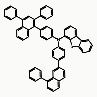 c1ccc(-c2cc(-c3ccccc3)c3ccccc3c2-c2ccc(N(c3ccc(-c4ccc5cccc(-c6ccccc6)c5c4)cc3)c3cccc4c3sc3ccccc34)cc2)cc1